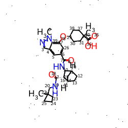 Cn1ncc2cc(C(=O)N[C@@H]3[C@H]4CC[C@H](C4)[C@@H]3C(=O)NCC3(C)CCC3)cc(O[C@H]3CC[C@@](C)(C(=O)O)CC3)c21